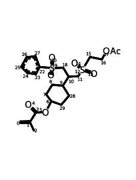 C=C(C)C(=O)OC1CCC(C(CS(=O)(=O)CCOC(C)=O)CS(=O)(=O)c2ccccc2)CC1